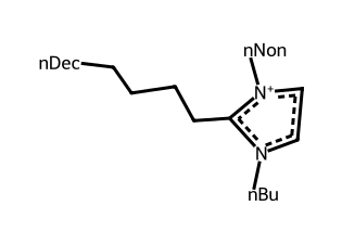 CCCCCCCCCCCCCCc1n(CCCC)cc[n+]1CCCCCCCCC